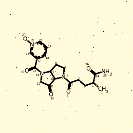 CC(C[CH]C(=O)N1CCC2C1C(=O)CN2C(=O)c1ccc[n+]([O-])c1)C(N)=O